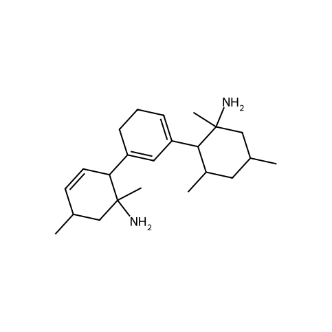 CC1C=CC(C2=CC(C3C(C)CC(C)CC3(C)N)=CCC2)C(C)(N)C1